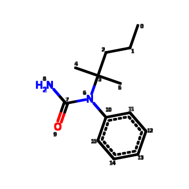 CCCC(C)(C)N(C(N)=O)c1ccccc1